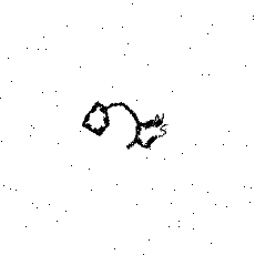 Cc1csnc1Cc1ccccc1